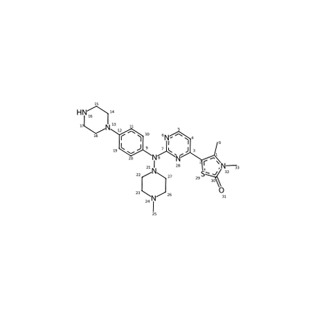 Cc1c(-c2ccnc(N(c3ccc(N4CCNCC4)cc3)N3CCN(C)CC3)n2)sc(=O)n1C